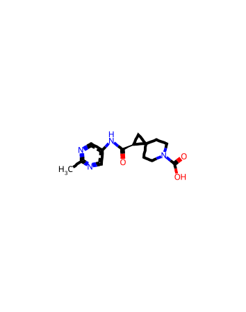 Cc1ncc(NC(=O)[C@H]2CC23CCN(C(=O)O)CC3)cn1